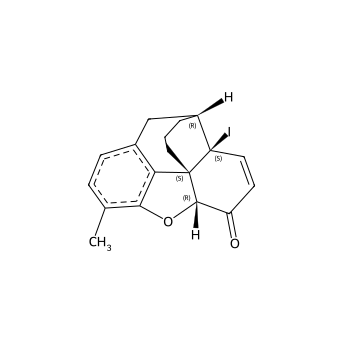 Cc1ccc2c3c1O[C@H]1C(=O)C=C[C@@]4(I)[C@H](CCC[C@]314)C2